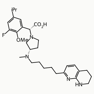 COc1c(F)cc(C(C)C)cc1[C@H](C(=O)O)N1CC[C@H](N(C)CCCCCc2ccc3c(n2)NCCC3)C1